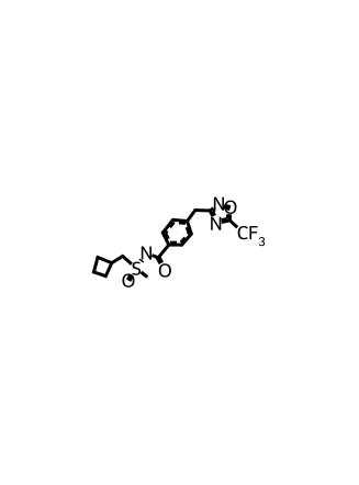 CS(=O)(CC1CCC1)=NC(=O)c1ccc(Cc2noc(C(F)(F)F)n2)cc1